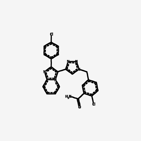 NC(=O)c1cc(Cn2cc(-c3c(-c4ccc(Cl)cc4)nc4ccccn34)nn2)ccc1Cl